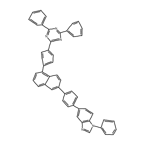 c1ccc(-c2nc(-c3ccccc3)nc(-c3ccc(-c4cccc5cc(-c6ccc(-c7ccc8c(c7)ncn8-c7ccccc7)cc6)ccc45)cc3)n2)cc1